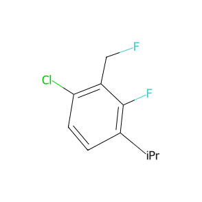 CC(C)c1ccc(Cl)c(CF)c1F